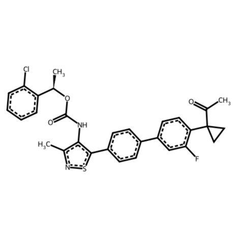 CC(=O)C1(c2ccc(-c3ccc(-c4snc(C)c4NC(=O)O[C@H](C)c4ccccc4Cl)cc3)cc2F)CC1